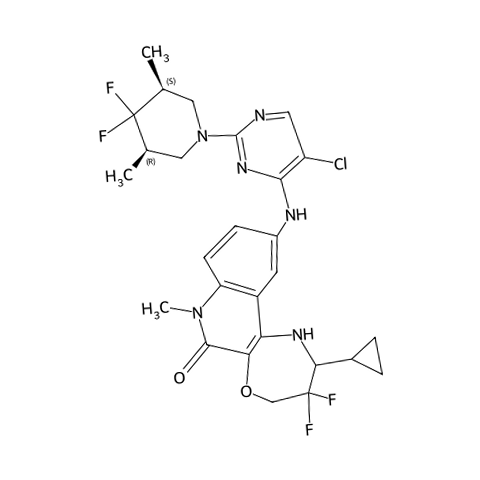 C[C@@H]1CN(c2ncc(Cl)c(Nc3ccc4c(c3)c3c(c(=O)n4C)OCC(F)(F)C(C4CC4)N3)n2)C[C@H](C)C1(F)F